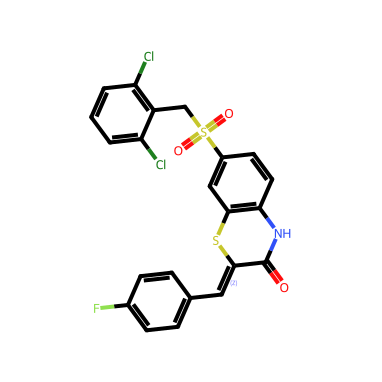 O=C1Nc2ccc(S(=O)(=O)Cc3c(Cl)cccc3Cl)cc2S/C1=C\c1ccc(F)cc1